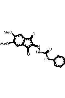 COc1cc2c(=O)c(=NNC(=O)Nc3ccccc3)c(=O)c2cc1OC